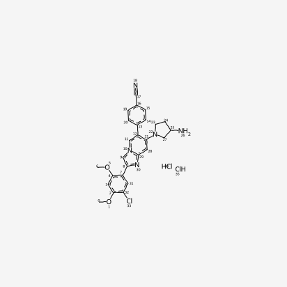 COc1cc(OC)c(-c2cn3cc(-c4ccc(C#N)cc4)c(N4CCC(N)C4)cc3n2)cc1Cl.Cl.Cl